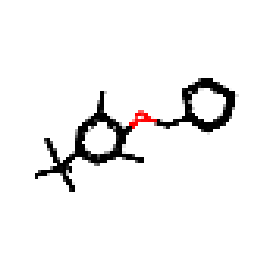 Cc1c[c]([Sn]([CH3])([CH3])[CH3])cc(C)c1OCc1ccccc1